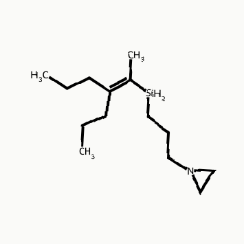 CCCC(CCC)=C(C)[SiH2]CCCN1CC1